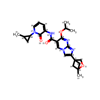 CC(C)Oc1nc2nc(C34COC(C)(C3)C4)cn2cc1C(=O)Nc1cccn(C2CC2C)c1=O